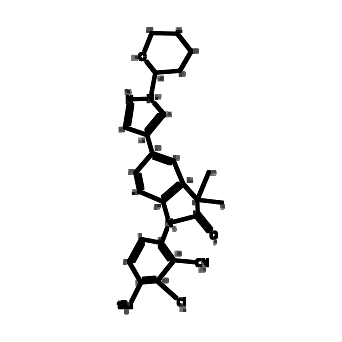 CC(C)(C)c1ccc(N2C(=O)C(C)(C)c3cc(-c4cnn(C5CCCCO5)c4)ccc32)c(C#N)c1Cl